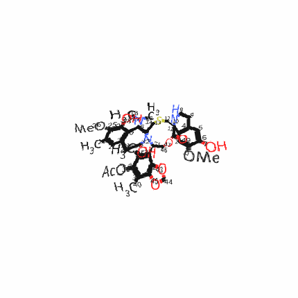 COc1cc2c(cc1O)CCN[C@]21CSCC2[C@@H](N(C)C)c3c(cc(C)c(OC)c3O)C[C@H](O)N2[C@H](c2c(C)c(OC(C)=O)c(C)c3c2OCO3)COC1=O